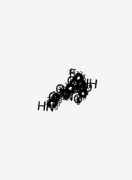 CO[C@@H]1CCN(S(=O)(=O)Nc2ccc(F)c(Oc3ccc4ncn([C@H]5COC6(CCNCC6)C5)c(=O)c4c3)c2C#N)C1